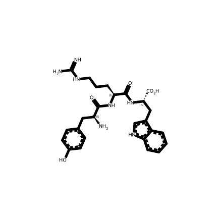 N=C(N)NCCC[C@H](NC(=O)[C@@H](N)Cc1ccc(O)cc1)C(=O)N[C@@H](Cc1c[nH]c2ccccc12)C(=O)O